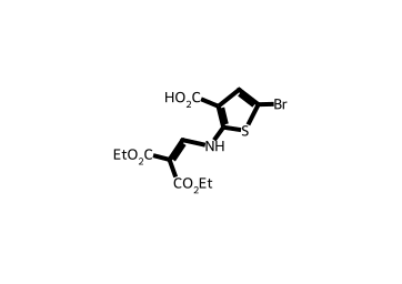 CCOC(=O)C(=CNc1sc(Br)cc1C(=O)O)C(=O)OCC